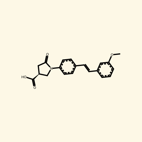 COc1cccc(/C=C/c2ccc(N3C[C@@H](C(=O)O)CC3=O)cc2)c1